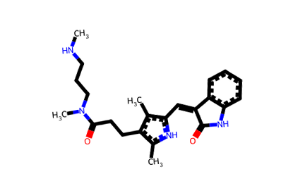 CNCCCN(C)C(=O)CCc1c(C)[nH]c(C=C2C(=O)Nc3ccccc32)c1C